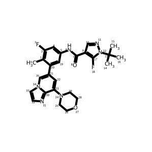 Cc1c(F)cc(NC(=O)c2cnn(C(C)(C)C)c2F)cc1-c1cc(N2CCOCC2)c2nccn2c1